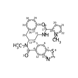 CN(C(=O)c1ccc2scnc2c1)C(CCNC(=O)c1cccn1C)Cc1ccccc1